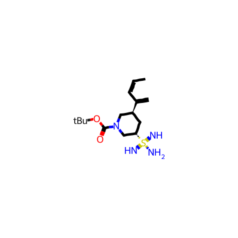 C=C(/C=C\C)[C@H]1C[C@H](S(=N)(=N)N)CN(C(=O)OC(C)(C)C)C1